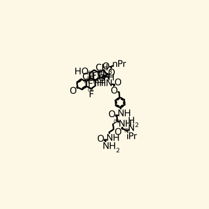 CCCC1O[C@@H]2C[C@@H]3[C@](C)(C[C@H](O)[C@]4(F)[C@@]5(C)C=CC(=O)C=C5[C@@H](F)C[C@@]34F)[C@]2(C(=O)CNC(=O)OCc2ccc(NC(=O)[C@H](CCCNC(N)=O)NC(=O)[C@@H](N)C(C)C)cc2)O1